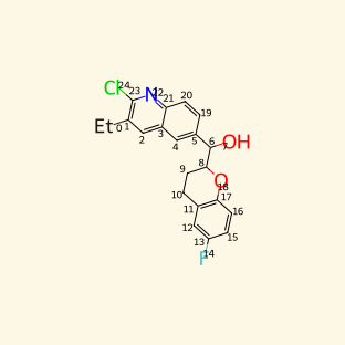 CCc1cc2cc(C(O)C3CCc4cc(F)ccc4O3)ccc2nc1Cl